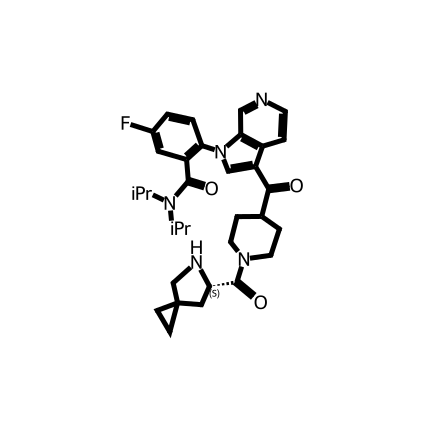 CC(C)N(C(=O)c1cc(F)ccc1-n1cc(C(=O)C2CCN(C(=O)[C@@H]3CC4(CC4)CN3)CC2)c2ccncc21)C(C)C